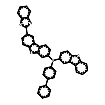 c1ccc(-c2ccc(N(c3ccc4c(c3)oc3ccc(-c5nc6ccccc6o5)cc34)c3ccc4oc5ccccc5c4c3)cc2)cc1